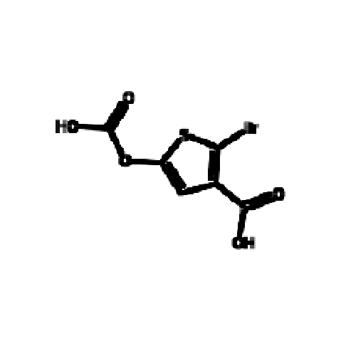 O=C(O)Oc1cc(S(=O)O)c(Br)s1